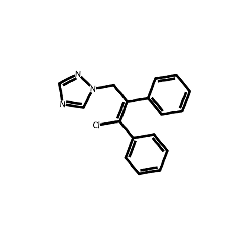 ClC(=C(Cn1cncn1)c1ccccc1)c1ccccc1